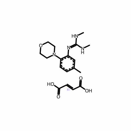 CNC(=Nc1cc(C)ccc1N1CCOCC1)NC.O=C(O)/C=C/C(=O)O